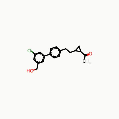 CC(=O)C1CC1CCc1ccc(-c2cc(Cl)cc(CO)c2)cc1